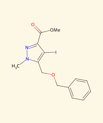 COC(=O)c1nn(C)c(COCc2ccccc2)c1I